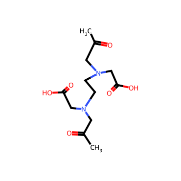 CC(=O)CN(CCN(CC(C)=O)CC(=O)O)CC(=O)O